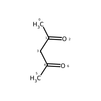 CC(=O)[CH]C(C)=O